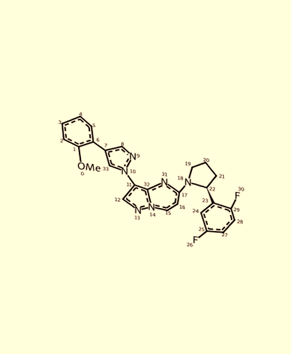 COc1ccccc1-c1cnn(-c2cnn3ccc(N4CCC[C@H]4c4cc(F)ccc4F)nc23)c1